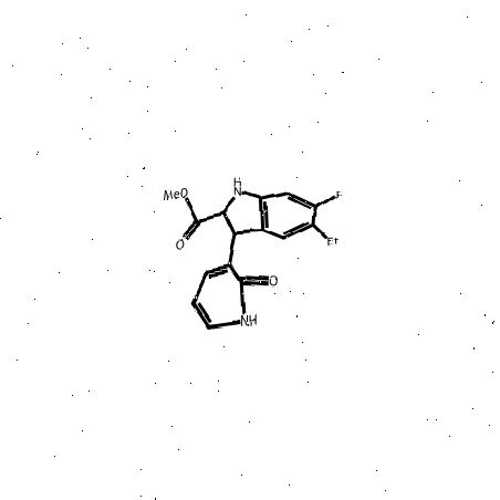 CCc1cc2c(cc1F)NC(C(=O)OC)C2c1ccc[nH]c1=O